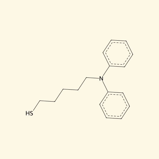 SCCCCCN(c1ccccc1)c1ccccc1